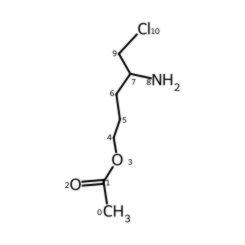 CC(=O)OCCCC(N)CCl